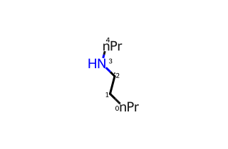 CCCC[CH]NCCC